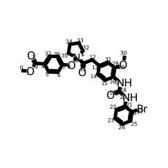 COC(=O)c1ccc(O[N+]2(C(=O)Cc3ccc(NC(=O)Nc4ccccc4Br)c(OC)c3)CCCC2)cc1